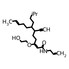 C#CC(CC/C(=C\C(=O)NCC=C)OCCO)C(CCC=CC)CCC(C)C